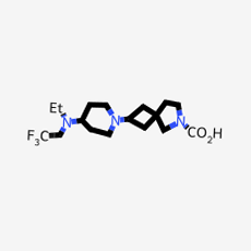 CCN(CC(F)(F)F)C1CCN(C2CC3(CCN(C(=O)O)C3)C2)CC1